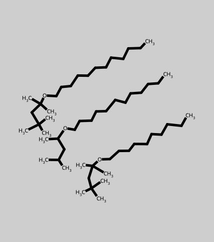 CCCCCCCCCCCCOC(C)(C)CC(C)(C)C.CCCCCCCCCCCCOC(C)CC(C)C.CCCCCCCCCCOC(C)(C)CC(C)(C)C